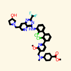 COC(=O)C1CCC(N(C)Cc2ccc(-c3cccc(-c4cccc(Nc5nc(C(F)F)nc6cc(CN7CC[C@@H](O)C7)cnc56)c4Cl)c3Cl)nc2OC)CC1